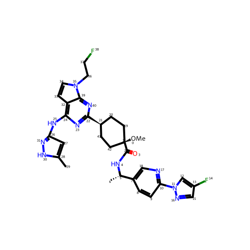 CO[C@]1(C(=O)N[C@@H](C)c2ccc(-n3cc(F)cn3)nc2)CC[C@H](c2nc(Nc3cc(C)[nH]n3)c3ccn(CCF)c3n2)CC1